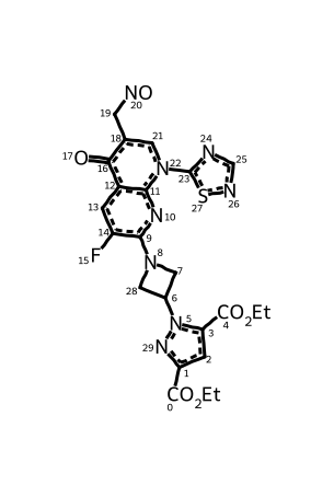 CCOC(=O)c1cc(C(=O)OCC)n(C2CN(c3nc4c(cc3F)c(=O)c(CN=O)cn4-c3ncns3)C2)n1